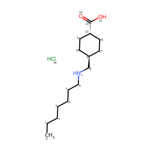 CCCCCCCNC[C@H]1CC[C@H](C(=O)O)CC1.Cl